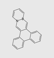 C1=CB2C=c3c(c4ccccc4c4ccccc34)=CN2C=C1